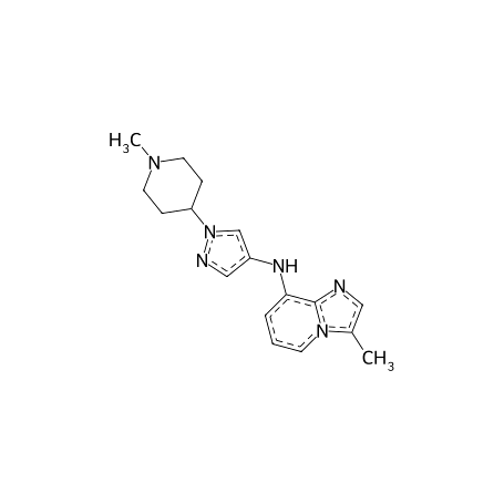 Cc1cnc2c(Nc3cnn(C4CCN(C)CC4)c3)cccn12